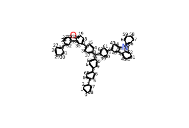 c1ccc(-c2ccc(-c3ccc(C(c4ccc(-c5ccc6oc7ccc(-c8ccccc8)cc7c6c5)cc4)c4ccc(-c5ccc6c(c5)c5ccccc5n6-c5ccccc5)cc4)cc3)cc2)cc1